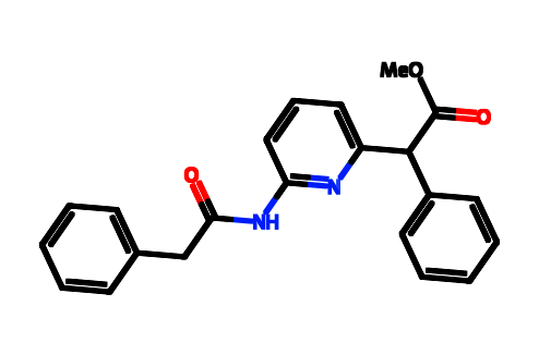 COC(=O)C(c1ccccc1)c1cccc(NC(=O)Cc2ccccc2)n1